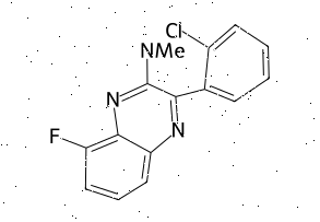 CNc1nc2c(F)cccc2nc1-c1ccccc1Cl